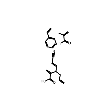 C=C(C)C(=O)O.C=CCC(C=CC#N)C(=C)C(=O)O.C=Cc1ccccc1